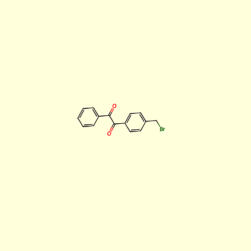 O=C(C(=O)c1ccc(CBr)cc1)c1ccccc1